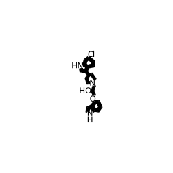 O[C@H](COc1cccc2[nH]ccc12)CN1CCC(c2c[nH]c3cc(Cl)ccc23)CC1